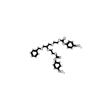 O=C(OCCOCC(COCc1ccccc1)OCCOC(=O)Oc1ccc([N+](=O)[O-])cc1)Oc1ccc([N+](=O)[O-])cc1